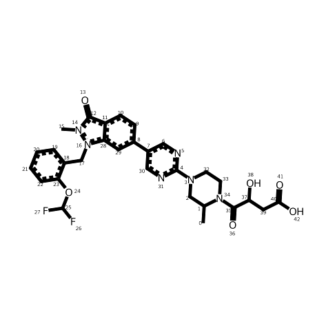 CC1CN(c2ncc(-c3ccc4c(=O)n(C)n(Cc5ccccc5OC(F)F)c4c3)cn2)CCN1C(=O)C(O)CC(=O)O